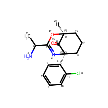 CC(N)C1=N[C@]2(c3ccccc3Cl)CCC[C@H](O1)C2=O